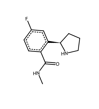 CNC(=O)c1ccc(F)cc1[C@H]1CCCN1